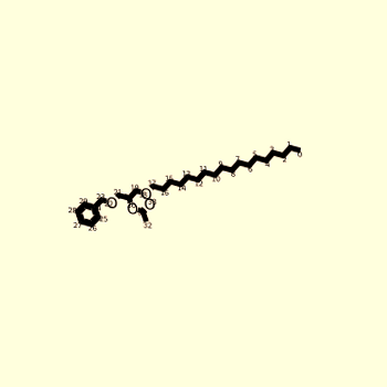 CCCCCCCCCCCCCCCCCCOCC(COCc1ccccc1)OC(C)=O